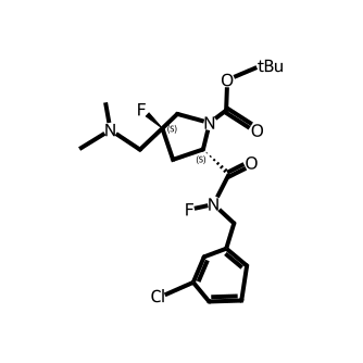 CN(C)C[C@@]1(F)C[C@@H](C(=O)N(F)Cc2cccc(Cl)c2)N(C(=O)OC(C)(C)C)C1